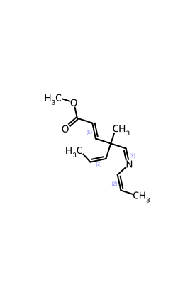 C/C=C\N=C/C(C)(/C=C\C)/C=C/C(=O)OC